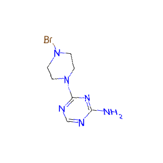 Nc1ncnc(N2CCN(Br)CC2)n1